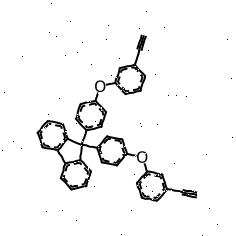 C#Cc1cccc(Oc2ccc(C3(c4ccc(Oc5cccc(C#C)c5)cc4)c4ccccc4-c4ccccc43)cc2)c1